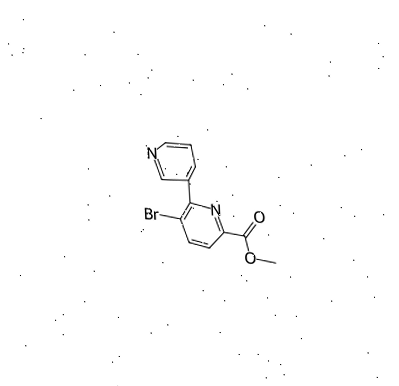 COC(=O)c1ccc(Br)c(-c2cccnc2)n1